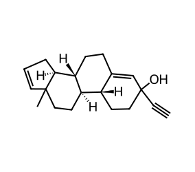 C#CC1(O)C=C2CC[C@@H]3[C@H](CCC4(C)C=CC[C@@H]34)[C@H]2CC1